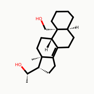 C[C@H](O)[C@H]1CCC2=C3CC[C@@H]4CCCC[C@]4(CO)[C@H]3CC[C@@]21C